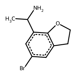 CC(N)c1cc(Br)cc2c1OCC2